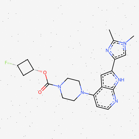 Cc1nc(-c2cc3c(N4CCN(C(=O)O[C@H]5C[C@@H](F)C5)CC4)ccnc3[nH]2)cn1C